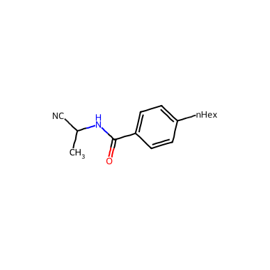 CCCCCCc1ccc(C(=O)NC(C)C#N)cc1